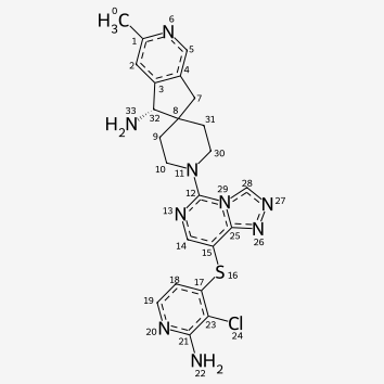 Cc1cc2c(cn1)CC1(CCN(c3ncc(Sc4ccnc(N)c4Cl)c4nncn34)CC1)[C@@H]2N